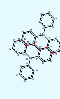 C(=C\c1ccccc1N(c1ccccc1)c1ccccc1)/c1ccccc1N(c1ccccc1)c1ccccc1